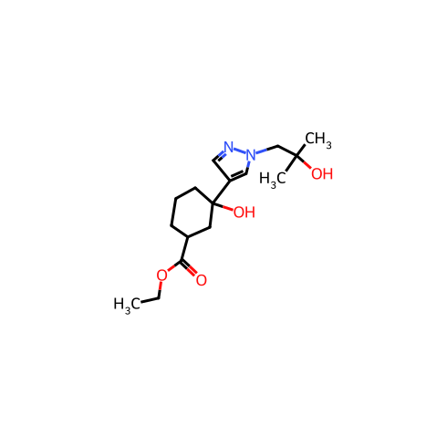 CCOC(=O)C1CCCC(O)(c2cnn(CC(C)(C)O)c2)C1